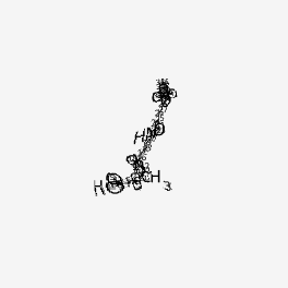 CC1(COC(=O)CCC(=O)O)CCN(C(=O)CCCCCNC(=O)CCCCCON2C(=O)C3C4C=CC(O4)C3C2=O)CC1